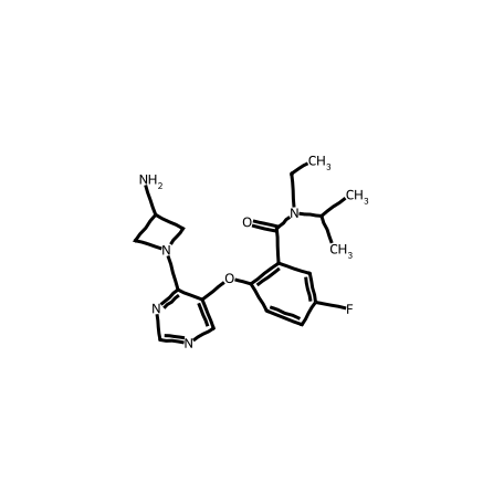 CCN(C(=O)c1cc(F)ccc1Oc1cncnc1N1CC(N)C1)C(C)C